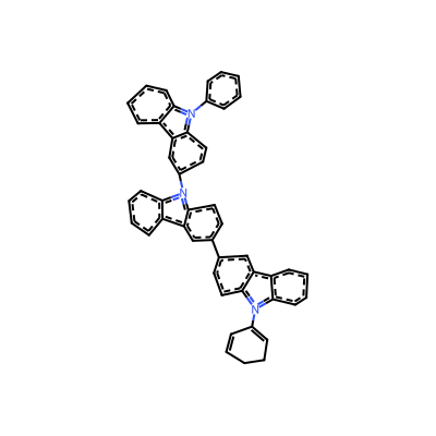 C1=CC(n2c3ccccc3c3cc(-c4ccc5c(c4)c4ccccc4n5-c4ccc5c(c4)c4ccccc4n5-c4ccccc4)ccc32)=CCC1